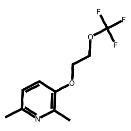 Cc1ccc(OCCOC(F)(F)F)c(C)n1